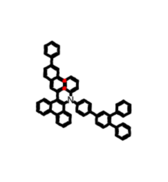 c1ccc(-c2ccc3cc(-c4c(N(c5ccccc5)c5ccc(-c6ccc(-c7ccccc7)c(-c7ccccc7)c6)cc5)c5ccccc5c5ccccc45)ccc3c2)cc1